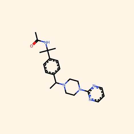 CC(=O)NC(C)(C)c1ccc(C(C)N2CCN(c3ncccn3)CC2)cc1